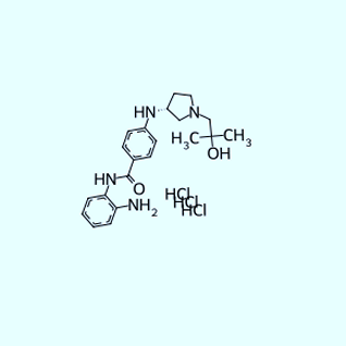 CC(C)(O)CN1CC[C@@H](Nc2ccc(C(=O)Nc3ccccc3N)cc2)C1.Cl.Cl.Cl